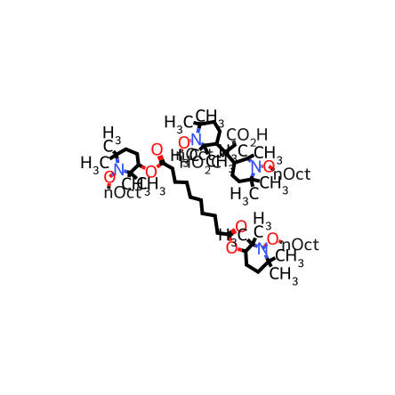 CCCCCCCCON1C(C)(C)CCC(C(CC(=O)O)(C(=O)O)C2CCC(C)(C)N(OCCCCCCCC)C2(C)C)C1(C)C.CCCCCCCCON1C(C)(C)CCC(OC(=O)CCCCCCCCC(=O)OC2CCC(C)(C)N(OCCCCCCCC)C2(C)C)C1(C)C